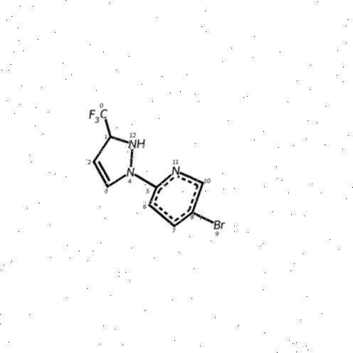 FC(F)(F)C1C=CN(c2ccc(Br)cn2)N1